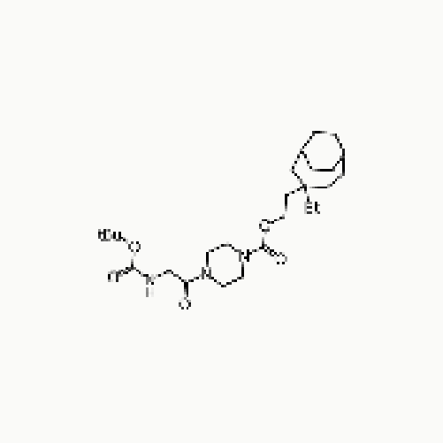 CCC1(CCOC(=O)N2CCN(C(=O)CNC(=O)OC(C)(C)C)CC2)CCC2CCC(CC2)C1